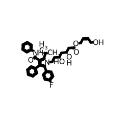 CC(C)c1c(C(=O)Nc2ccccc2)c(-c2ccccc2)c(-c2ccc(F)cc2)n1CC[C@@H](O)C[C@@H](O)CC(=O)OC/C=C\CO